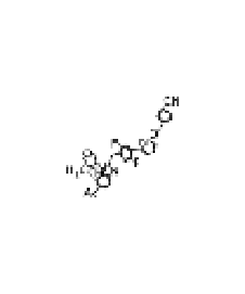 CC(=O)c1ccc2nc(Cc3cc(F)c(-c4cccc(OCc5ccc(C#N)cc5)n4)cc3F)n([C@@H]3COCC3(C)C)c2c1